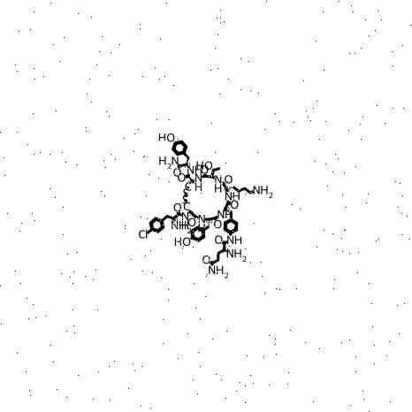 CC(O)C1NC(=O)[C@H](CCCCN)NC(=O)[C@@H](Cc2ccc(NC(=O)[C@@H](N)CCC(N)=O)cc2)NC(=O)[C@H](Cc2ccc(O)cc2)NC(=O)[C@H](NC(=O)[C@@H](N)Cc2ccc(Cl)cc2)CSSC[C@@H](C(=O)N[C@H](Cc2ccc(O)cc2)C(N)=O)NC1=O